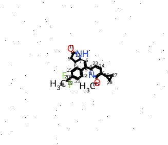 COc1nc(C(=C[C@H]2CCC(=O)N2)c2ccc(C(C)(F)F)cc2)ccc1C1CC1